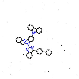 c1ccc(-c2ccc(-c3nc(-n4c5ccc(-n6c7ccccc7c7ccccc76)cc5n5c6ccccc6cc45)nc4ccccc34)cc2)cc1